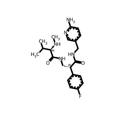 CN[C@@H](C(=O)NC[C@H](C(=O)NCc1ccc(N)nc1)c1ccc(F)cc1)C(C)C